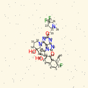 C#Cc1c(F)ccc2cc(O)cc(Oc3nc4nc(OC[C@@H]5CC(F)(F)CN5C)nc(N5CCC[C@@](C)(O)C5)c4n3C3CCC3)c12